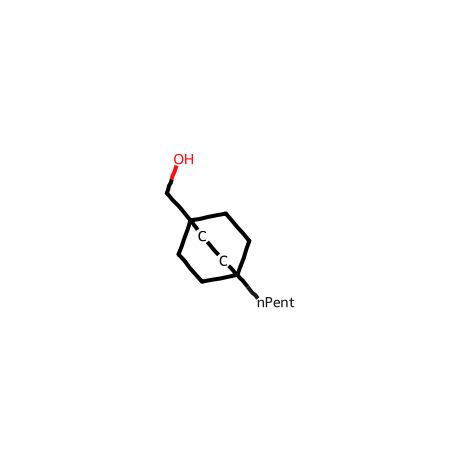 CCCCCC12CCC(CO)(CC1)CC2